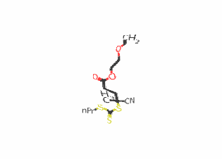 C=COCCOC(=O)CCC(C)(C#N)SC(=S)SCCC